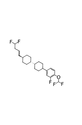 Fc1cc(C2CCC([C@H]3CC[C@H](/C=C/CC(F)F)CC3)CC2)ccc1OC(F)F